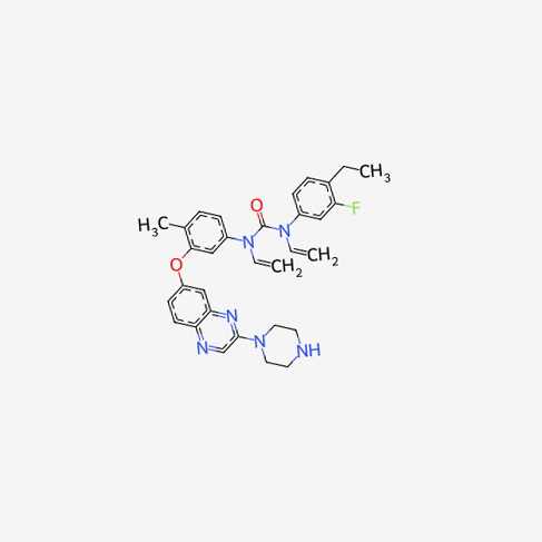 C=CN(C(=O)N(C=C)c1ccc(C)c(Oc2ccc3ncc(N4CCNCC4)nc3c2)c1)c1ccc(CC)c(F)c1